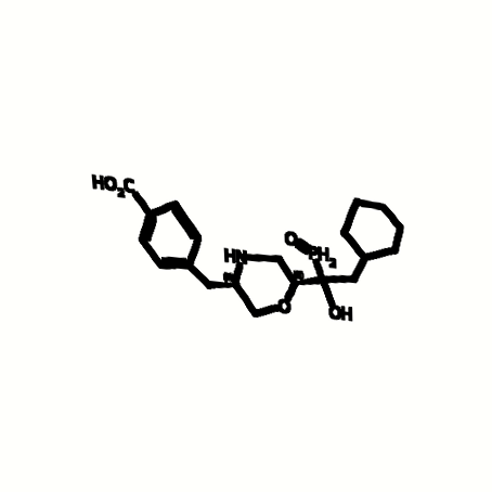 O=[PH2]C(O)(CC1CCCCC1)[C@@H]1CN[C@H](Cc2ccc(C(=O)O)cc2)CO1